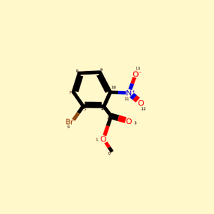 COC(=O)c1c(Br)cccc1[N+](=O)[O-]